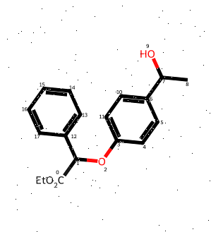 CCOC(=O)C(Oc1ccc(C(C)O)cc1)c1ccccc1